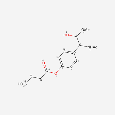 COC(O)C(NC(C)=O)c1ccc(OC(=O)CCS(=O)(=O)O)cc1